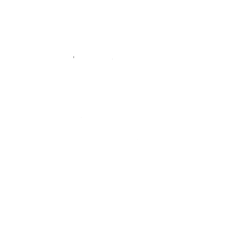 CC(C)CC(C)CCCC(C)CCOC(=O)c1ccc(O)cc1